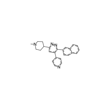 CN1CCC(c2cc(-c3ccncc3)c(-c3ccc4ccccc4c3)nn2)CC1